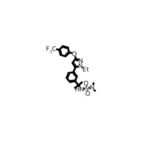 CCn1nc(Oc2ccc(C(F)(F)F)cc2)cc1-c1cccc(C(C)(C)NS(=O)(=O)N(C)C)c1